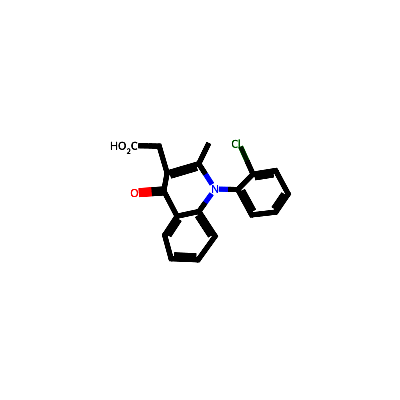 Cc1c(CC(=O)O)c(=O)c2ccccc2n1-c1ccccc1Cl